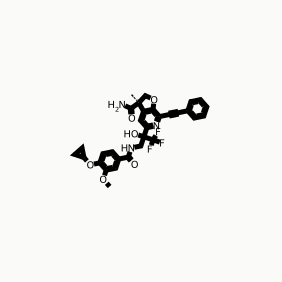 COc1cc(C(=O)NCC(O)(c2cc3c(c(C#Cc4ccccc4)n2)OC[C@]3(C)C(N)=O)C(F)(F)F)ccc1OC1CC1